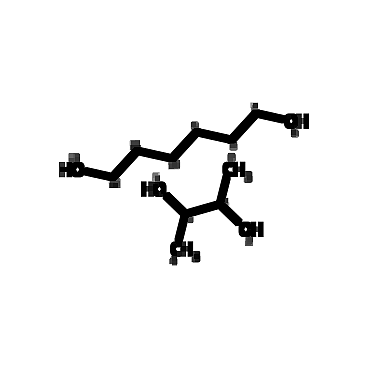 CC(O)C(C)O.OCCCCCCO